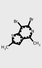 Cc1cc2c(C)nc(Br)c(Br)c2s1